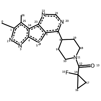 Cc1nnc2sc3c(C4CCN(C(=O)C5(F)CC5)CC4)ncnc3c2c1C